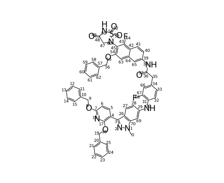 Cn1nc(-c2ccc(OCc3ccccc3)nc2OCc2ccccc2)c2ccc(Nc3ccc(CC(=O)Nc4ccc5c(F)c(N6CC(=O)NS6(=O)=O)c(OCc6ccccc6)cc5c4)cc3F)cc21